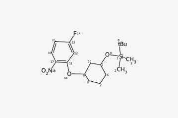 CC(C)(C)[Si](C)(C)OC1CCCC(Oc2cc(F)ccc2[N+](=O)[O-])C1